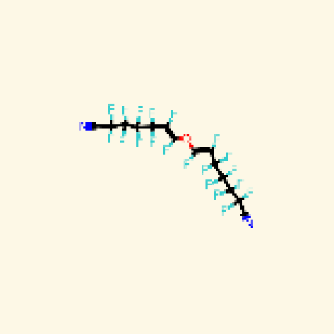 N#CC(F)(F)C(F)(F)C(F)(F)C(F)(F)C(F)=C(F)OC(F)=C(F)C(F)(F)C(F)(F)C(F)(F)C(F)(F)C#N